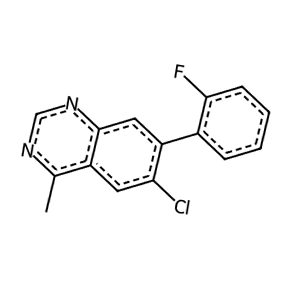 Cc1ncnc2cc(-c3ccccc3F)c(Cl)cc12